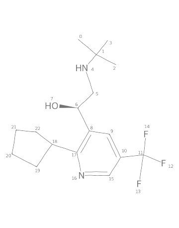 CC(C)(C)NC[C@H](O)c1cc(C(F)(F)F)cnc1C1CCCC1